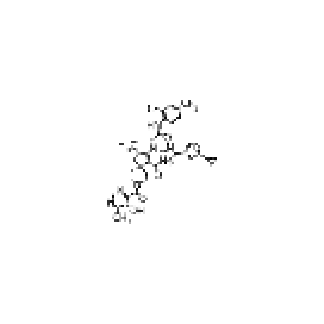 Cc1ncnc(C(=O)N2CCC3(CC2)CC(C)c2c3c(=O)n3nc(-c4cnc(C5CC5)s4)nc3n2CC(=O)Nc2ccc(C(F)(F)F)cc2Cl)c1O